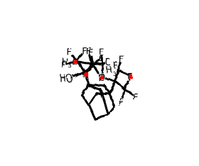 CC(F)(F)C(C)(F)OC(C(F)(F)F)(C(F)(F)F)C12CC3CC(CC(C(O)(C(F)(F)F)C(F)(F)F)(C3)C1)C2